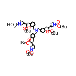 CC(C)(C)OC(=O)[C@@H](Cc1cccc(CN(Cc2cccc(C[C@H](C(=O)OC(C)(C)C)[C@H]3CCN(C(=O)OC(C)(C)C)C3)c2)Cc2cccc(C[C@H](C(=O)OC(C)(C)C)[C@H]3CCN(C(=O)OC(C)(C)C)C3)c2)c1)[C@H]1CCN(C(=O)O)C1